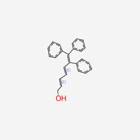 OC/C=C/C=C/C(=C(c1ccccc1)c1ccccc1)c1ccccc1